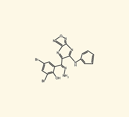 NN=C(c1cc(Br)cc(Br)c1O)c1nc2nonc2nc1Nc1ccccc1